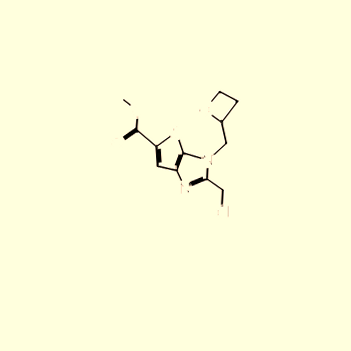 COC(=O)c1cc2nc(CCl)n(CC3CCO3)c2s1